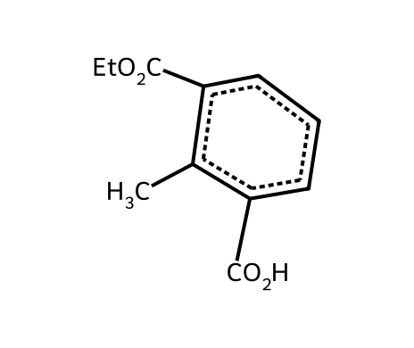 CCOC(=O)c1cccc(C(=O)O)c1C